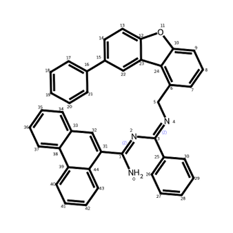 N/C(=N\C(=N/Cc1cccc2oc3ccc(-c4ccccc4)cc3c12)c1ccccc1)c1cc2ccccc2c2ccccc12